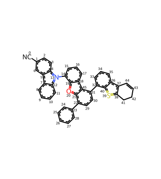 N#Cc1ccc2c(c1)c1ccccc1n2-c1cccc2c1oc1c(-c3ccccc3)ccc(-c3cccc4c5c(sc34)CCC=C5)c12